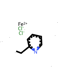 CCc1ccccn1.[Cl-].[Cl-].[Fe+2]